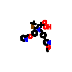 CCOc1ccc(-c2ccc(Cn3c(CC(C)(C)C(=O)O)c(SC(C)(C)C)c4cc(OCc5ccccn5)ccc43)cc2)cn1